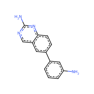 Nc1cccc(-c2ccc3nc(N)ncc3c2)c1